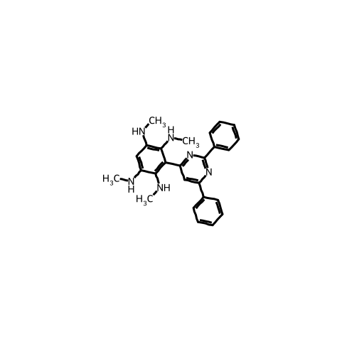 CNc1cc(NC)c(NC)c(-c2cc(-c3ccccc3)nc(-c3ccccc3)n2)c1NC